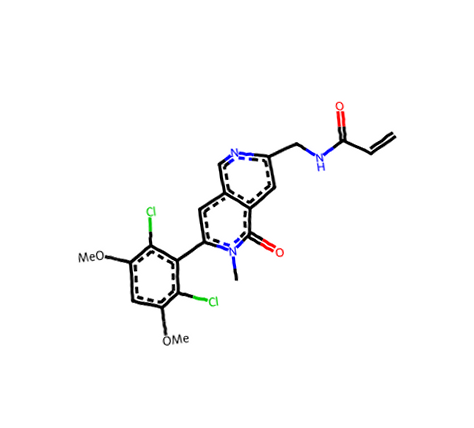 C=CC(=O)NCc1cc2c(=O)n(C)c(-c3c(Cl)c(OC)cc(OC)c3Cl)cc2cn1